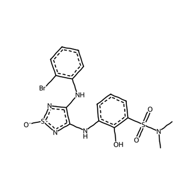 CN(C)S(=O)(=O)c1cccc(Nc2n[s+]([O-])nc2Nc2ccccc2Br)c1O